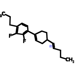 CCC/C=C/C1CC=C(c2ccc(CCC)c(F)c2F)CC1